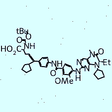 CC[C@@H]1C(=O)N(C)c2cnc(Nc3ccc(C(=O)Nc4ccc(/C(=C/C[C@H](NC(=O)OC(C)(C)C)C(=O)O)C5CCCC5)cc4)cc3OC)nc2N1C1CCCC1